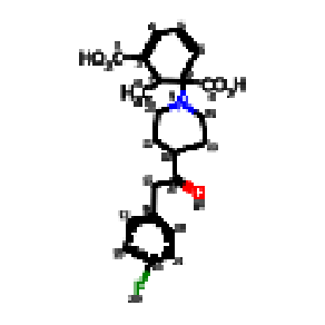 CC1C(C(=O)O)=CC=CC1(C(=O)O)N1CCC(C(=O)Cc2ccc(F)cc2)CC1